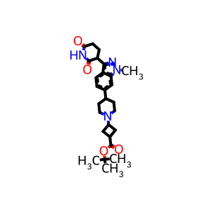 Cn1nc(C2CCC(=O)NC2=O)c2ccc(C3CCN(C4CC(C(=O)OC(C)(C)C)C4)CC3)cc21